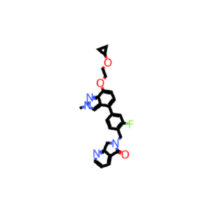 Cn1cc2c(-c3ccc(CN4Cc5ncccc5C4=O)c(F)c3)ccc(OCCOC3CC3)c2n1